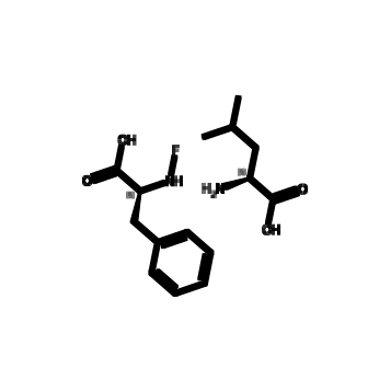 CC(C)C[C@H](N)C(=O)O.O=C(O)[C@H](Cc1ccccc1)NF